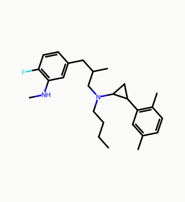 CCCCN(CC(C)Cc1ccc(F)c(NC)c1)C1CC1c1cc(C)ccc1C